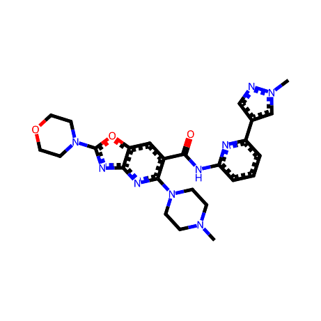 CN1CCN(c2nc3nc(N4CCOCC4)oc3cc2C(=O)Nc2cccc(-c3cnn(C)c3)n2)CC1